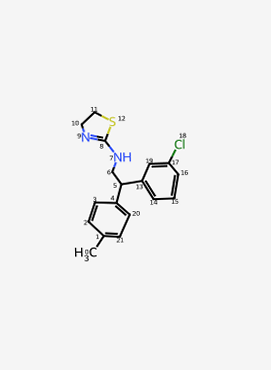 Cc1ccc(C(CNC2=NCCS2)c2cccc(Cl)c2)cc1